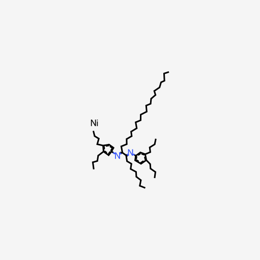 CCCCCCCCCCCCCCCCCCCCC(=N\c1ccc(CCCC)c(CCCC)c1)/C(CCCCCCCC)=N/c1ccc(CCCC)c(CCCC)c1.[Ni]